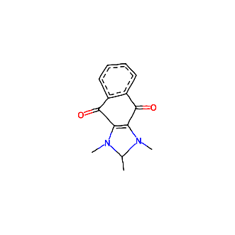 CC1N(C)C2=C(C(=O)c3ccccc3C2=O)N1C